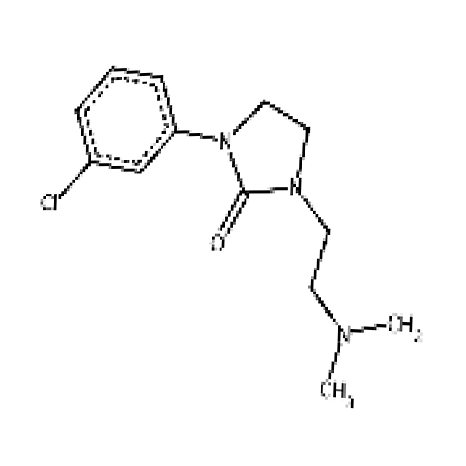 CN(C)CCN1CCN(c2cccc(Cl)c2)C1=O